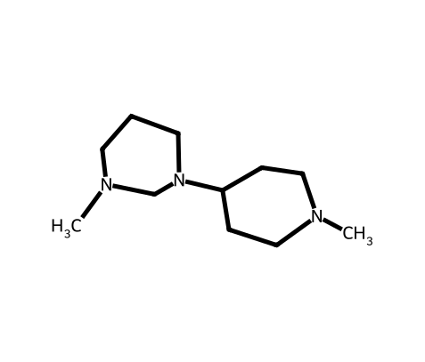 CN1CCC(N2CCCN(C)C2)CC1